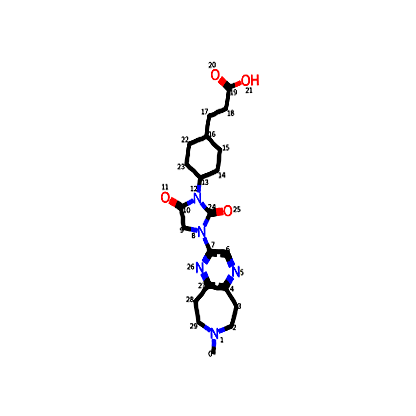 CN1CCc2ncc(N3CC(=O)N(C4CCC(CCC(=O)O)CC4)C3=O)nc2CC1